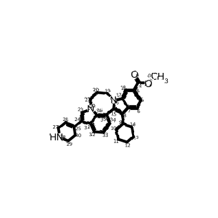 COC(=O)c1ccc2c(C3CCCCC3)c3n(c2c1)CCCn1cc(C2=CCNCC2)c2cccc-3c21